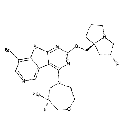 C[C@@]1(O)COCCN(c2nc(OC[C@@]34CCCN3C[C@H](F)C4)nc3sc4c(Br)cncc4c23)C1